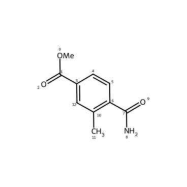 COC(=O)c1ccc(C(N)=O)c(C)c1